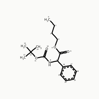 CCCCOC(=O)C(NC(=O)OC(C)(C)C)c1ccccc1